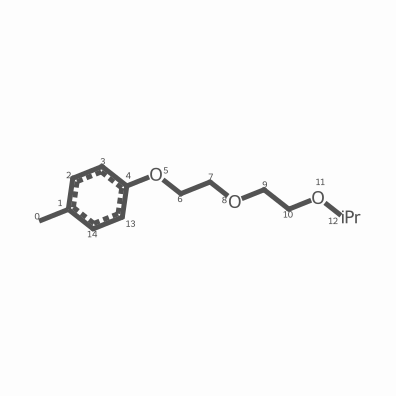 Cc1ccc(OCCOCCOC(C)C)cc1